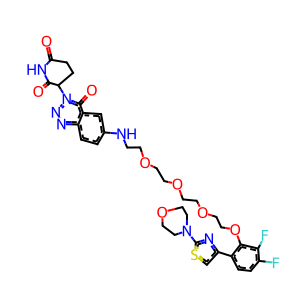 O=C1CCC(n2nnc3ccc(NCCOCCOCCOCCOc4c(-c5csc(N6CCOCC6)n5)ccc(F)c4F)cc3c2=O)C(=O)N1